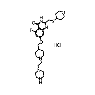 Cl.O=c1[nH]c(CSC2CCOCC2)nc2cc(OCC3CCN(CCN4CCNCC4)CC3)cc(F)c12